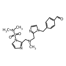 CN(Cc1nccn1Cc1ccc(C=O)cc1)Cc1nccn1S(=O)(=O)N(C)C